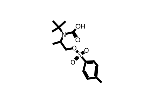 Cc1ccc(S(=O)(=O)OCC(C)N(C(=O)O)C(C)(C)C)cc1